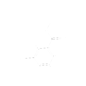 CC(C)OC(=O)c1cccc(F)n1